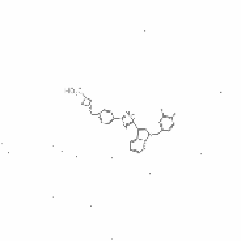 Cc1ccc(Cn2cc(-c3nc(-c4ccc(CN5CC(C(=O)O)C5)cc4)no3)c3ccccc32)cc1C